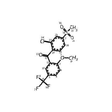 COc1ccc(C(F)(F)F)cc1C(=O)c1ccc(S(C)(=O)=O)cc1Cl